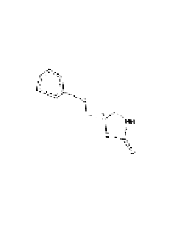 O=C1NC[C@@H](COc2ccccc2)O1